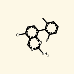 Cc1cccc(F)c1-c1ccc(Cl)c2cnc(N)nc12